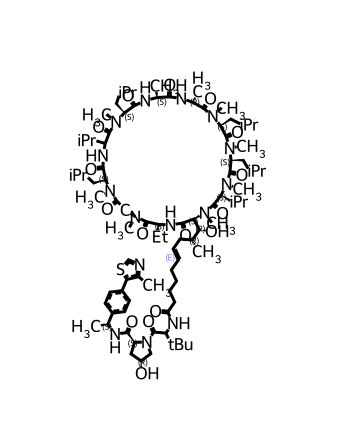 CC[C@@H]1NC(=O)[C@H]([C@H](O)[C@H](C)C/C=C/CCCCC(=O)NC(C(=O)N2C[C@H](O)C[C@H]2C(=O)N[C@@H](C)c2ccc(-c3scnc3C)cc2)C(C)(C)C)N(C)C(=O)[C@H](C(C)C)N(C)C(=O)[C@H](CC(C)C)N(C)C(=O)[C@H](CC(C)C)N(C)C(=O)[C@@H](C)NC(=O)[C@H](C)NC(=O)[C@H](CC(C)C)N(C)C(=O)C(C(C)C)NC(=O)[C@H](CC(C)C)N(C)C(=O)CN(C)C1=O